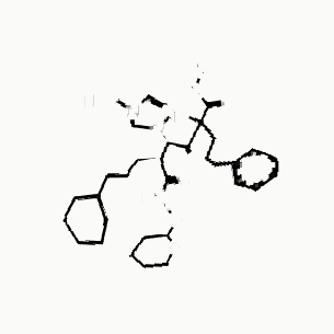 CCCC(CCc1ccccc1)(C(=O)NN)C(=O)[C@@H]([C@H](CCCC1CCCCC1)C(=O)NOC1CCCCO1)N1CN(C)C=N1